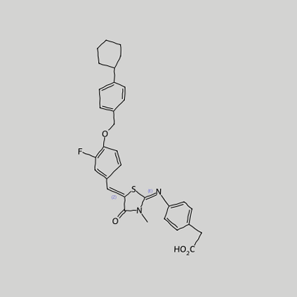 CN1C(=O)/C(=C/c2ccc(OCc3ccc(C4CCCCC4)cc3)c(F)c2)S/C1=N/c1ccc(CC(=O)O)cc1